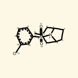 CN1CC2CCC(C1)N2S(=O)(=O)c1cccc(Cl)c1